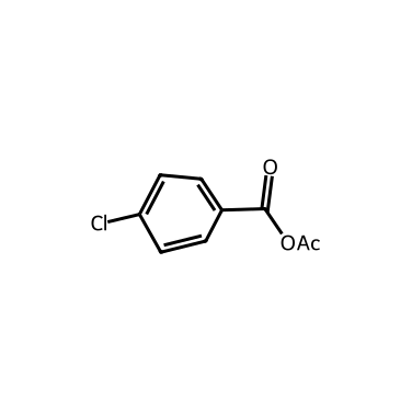 CC(=O)OC(=O)c1ccc(Cl)cc1